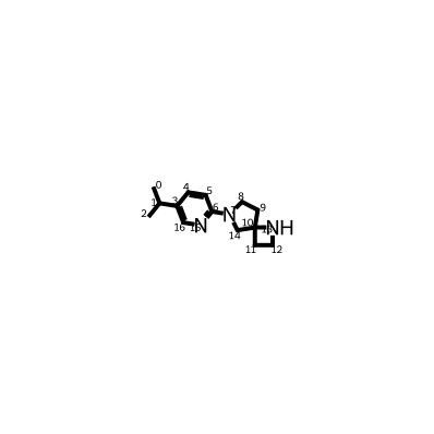 CC(C)c1ccc(N2CCC3(CCN3)C2)nc1